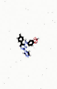 Cc1ccc(-c2cnc(-n3ccnc3)nc2N(C)c2ccc3c(c2)OCO3)cc1